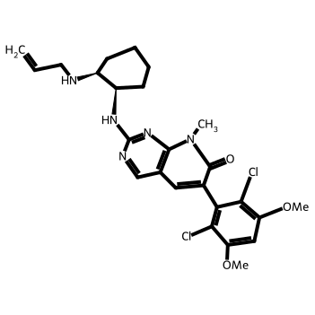 C=CCN[C@H]1CCCC[C@H]1Nc1ncc2cc(-c3c(Cl)c(OC)cc(OC)c3Cl)c(=O)n(C)c2n1